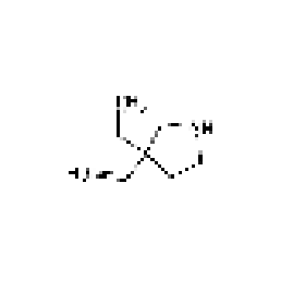 C=CC1(C=C)CCNC1